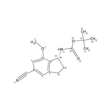 COc1cc(C#N)cc2c1[C@H](NC(=O)OC(C)(C)C)CC2